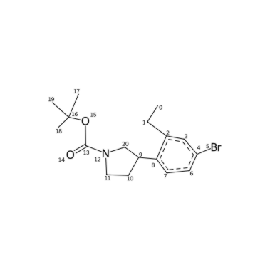 CCc1cc(Br)ccc1C1CCN(C(=O)OC(C)(C)C)C1